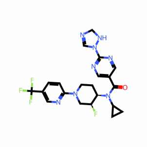 O=C(c1cnc(N2C=NCN2)nc1)N(C1CC1)[C@@H]1CCN(c2ccc(C(F)(F)F)cn2)C[C@@H]1F